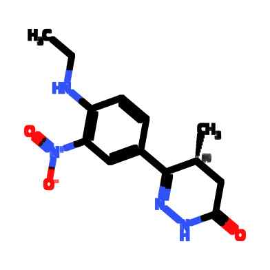 CCNc1ccc(C2=NNC(=O)C[C@H]2C)cc1[N+](=O)[O-]